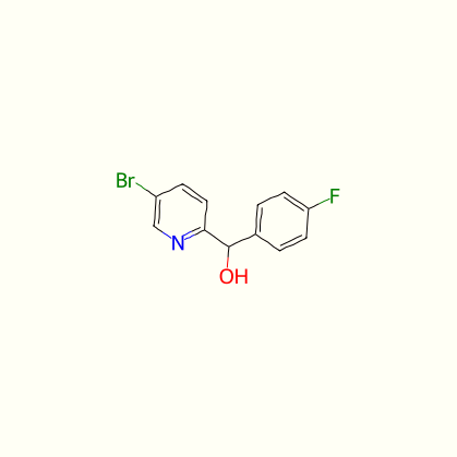 OC(c1ccc(F)cc1)c1ccc(Br)cn1